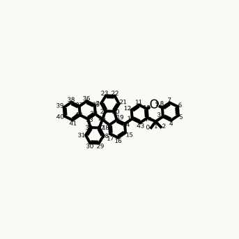 CC1(C)c2ccccc2Oc2ccc(-c3cccc4c3-c3ccccc3C43c4ccccc4-c4c3ccc3ccccc43)cc21